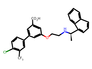 C[C@@H](NCCOc1cc(C(=O)O)cc(-c2ccc(Cl)c(C(F)(F)F)c2)c1)c1cccc2ccccc12